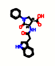 O=C(Cc1c[nH]c2ccccc12)N[C@H]1C(=O)N(c2ccccc2)C[C@@H]1C(=O)O